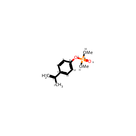 C=C(C)c1ccc(OP(=O)(OC)OC)cc1